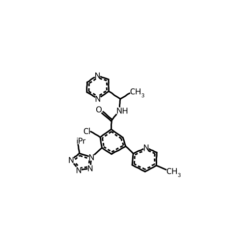 Cc1ccc(-c2cc(C(=O)NC(C)c3cnccn3)c(Cl)c(-n3nnnc3C(C)C)c2)nc1